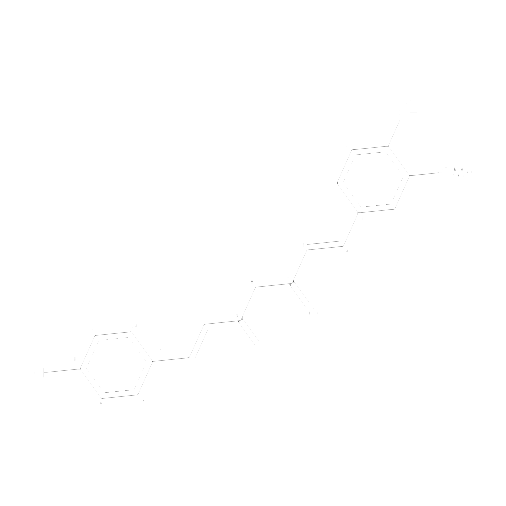 COc1cc(C=CC(=O)CC(=O)C=Cc2ccc(Cl)cc2)ccc1O